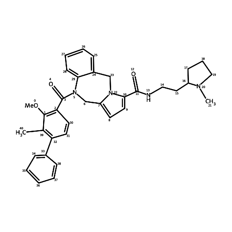 COc1c(C(=O)N2Cc3ccc(C(=O)NCCC4CCCN4C)n3Cc3ccccc32)ccc(-c2ccccc2)c1C